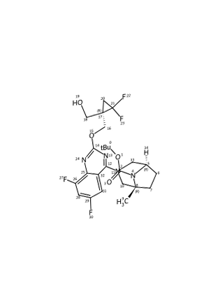 CC(C)(C)OC(=O)N1[C@@H]2CC[C@]1(C)CN(c1nc(OC[C@]3(CO)CC3(F)F)nc3c(F)cc(F)cc13)C2